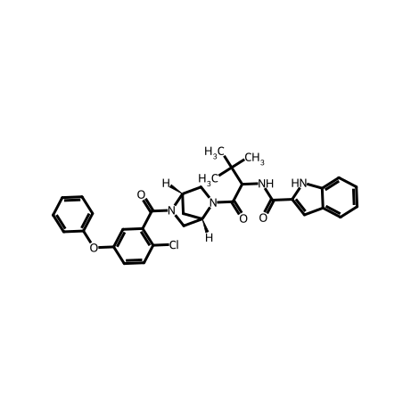 CC(C)(C)C(NC(=O)c1cc2ccccc2[nH]1)C(=O)N1C[C@@H]2C[C@H]1CN2C(=O)c1cc(Oc2ccccc2)ccc1Cl